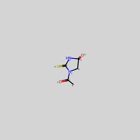 CC(=O)N1CC(=O)NC1=S